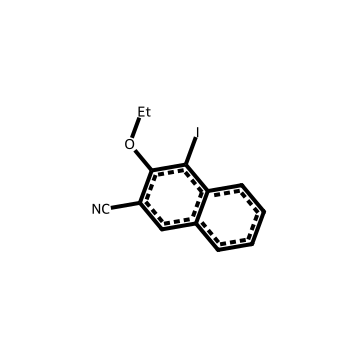 CCOc1c(C#N)cc2ccccc2c1I